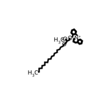 CCCCCCCCCCCCCCCCCCOCC(COCc1ccccc1C[n+]1cccc2ccccc21)OC